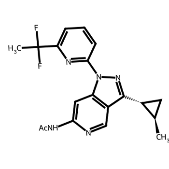 CC(=O)Nc1cc2c(cn1)c([C@@H]1C[C@H]1C)nn2-c1cccc(C(C)(F)F)n1